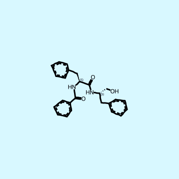 O=C(N[C@@H](Cc1ccccc1)C(=O)N[C@H](CO)Cc1ccccc1)c1ccccc1